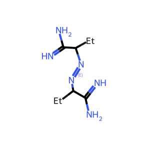 CCC(/N=N/C(CC)C(=N)N)C(=N)N